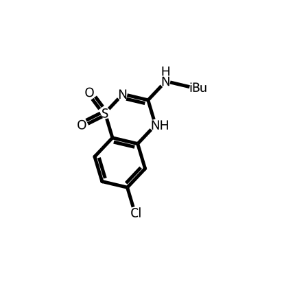 CCC(C)NC1=NS(=O)(=O)c2ccc(Cl)cc2N1